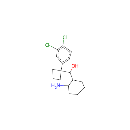 NC1CCCCC1C(O)C1(c2ccc(Cl)c(Cl)c2)CCC1